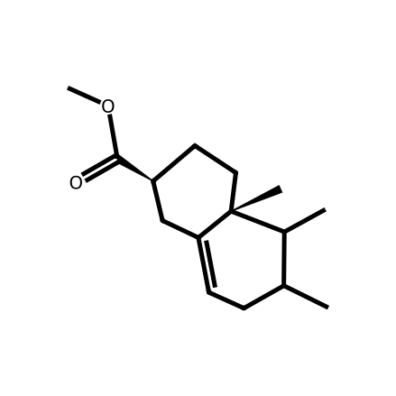 COC(=O)[C@H]1CC[C@@]2(C)C(=CCC(C)C2C)C1